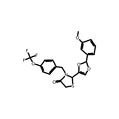 COc1cccc(C2OC=C(C3SCC(=O)N3Cc3ccc(OC(F)(F)F)cc3)O2)c1